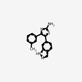 Cc1cccc(-c2nc(N)sc2-c2ccc3cn[nH]c3c2)c1